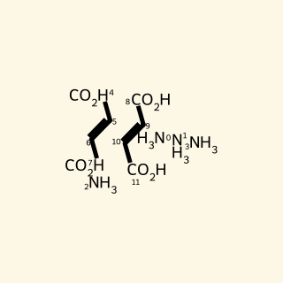 N.N.N.N.O=C(O)/C=C/C(=O)O.O=C(O)/C=C/C(=O)O